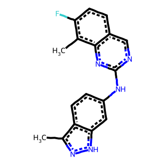 Cc1n[nH]c2cc(Nc3ncc4ccc(F)c(C)c4n3)ccc12